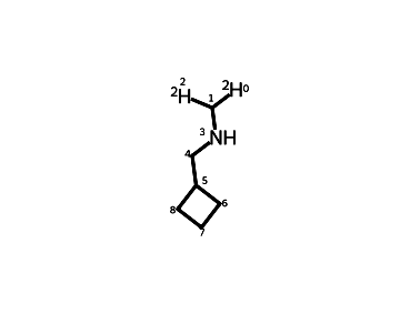 [2H]C([2H])NCC1CCC1